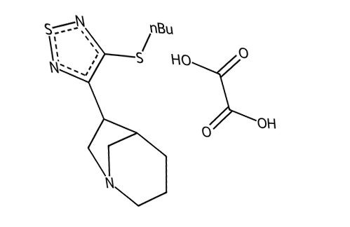 CCCCSc1nsnc1C1CN2CCCC1C2.O=C(O)C(=O)O